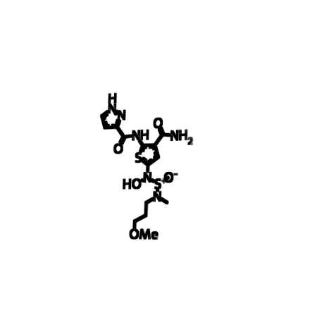 COCCCN(C)[S+]([O-])N(O)c1cc(C(N)=O)c(NC(=O)c2cc[nH]n2)s1